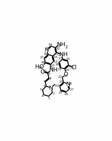 CN1CCCCC1/C=C/C(=O)Nc1cc2c(Nc3ccc(OCc4ccccn4)c(Cl)c3)c(N)cnc2cc1O